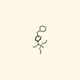 CCOP(=O)(OCC)C(O)c1ccc(CN2CCOCC2)nc1